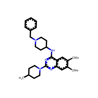 COc1cc2nc(N3CCC(C)CC3)nc(NC3CCN(Cc4ccccc4)CC3)c2cc1OC